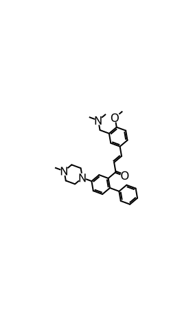 COc1ccc(C=CC(=O)c2cc(N3CCN(C)CC3)ccc2-c2ccccc2)cc1CN(C)C